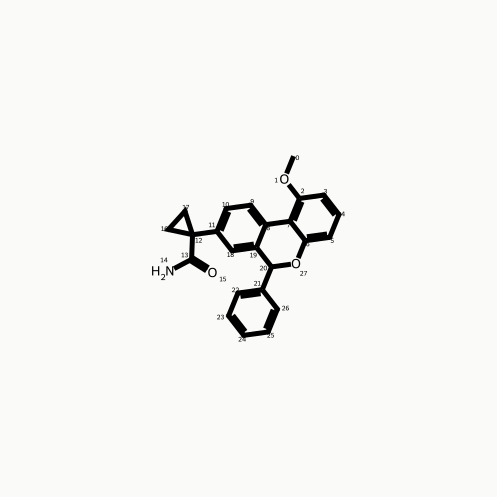 COc1cccc2c1-c1ccc(C3(C(N)=O)CC3)cc1C(c1ccccc1)O2